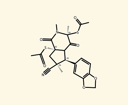 CC(=O)S[C@@]1(C)C(=O)C2[C@@H](c3ccc4c(c3)OCO4)[C@@](C)(C#N)C[C@@]2(SC(C)=O)C(=O)N1C